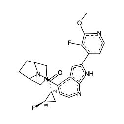 COc1nccc(-c2cc3c(N4CC5CCC(C4)N5C(=O)[C@@H]4C[C@H]4F)ccnc3[nH]2)c1F